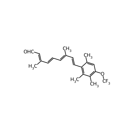 CC(C=CC=C(C)C=Cc1c(C)cc(OC(F)(F)F)c(C)c1C)=CC=O